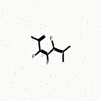 C=C(C)/C(F)=C(/F)C(F)=C(C)C